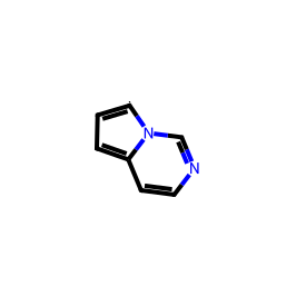 [c]1ccc2ccncn12